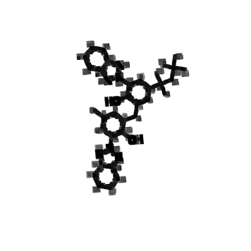 Cc1cc(Cc2cc(C(C)(C)CC(C)(C)C)cc(-n3nc4ccccc4n3)c2O)c(O)c(-n2nc3ccccc3n2)c1